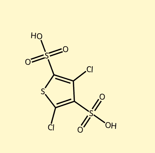 O=S(=O)(O)c1sc(Cl)c(S(=O)(=O)O)c1Cl